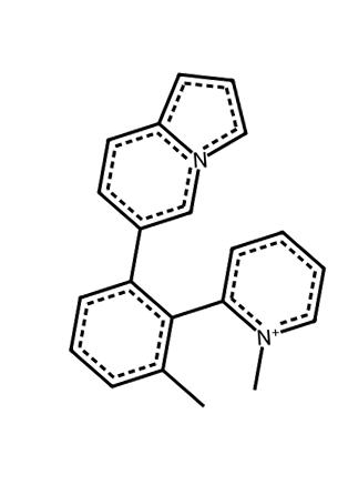 Cc1cccc(-c2ccc3cccn3c2)c1-c1cccc[n+]1C